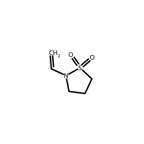 C=CN1CCCS1(=O)=O